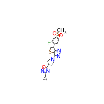 CS(=O)(=O)c1ccc(-c2csc3c(N4CCC(c5nc(C6CC6)no5)CC4)ncnc23)c(F)c1